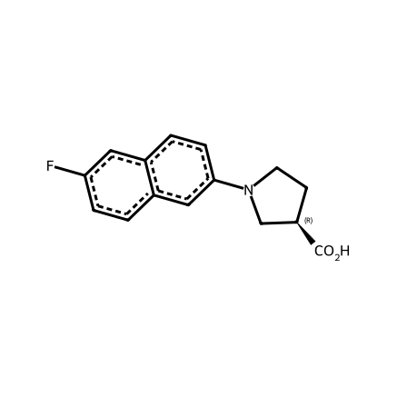 O=C(O)[C@@H]1CCN(c2ccc3cc(F)ccc3c2)C1